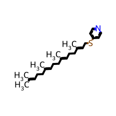 CC(C)=CCC/C(C)=C/CC/C(C)=C/CC/C(C)=C/CSc1ccncc1